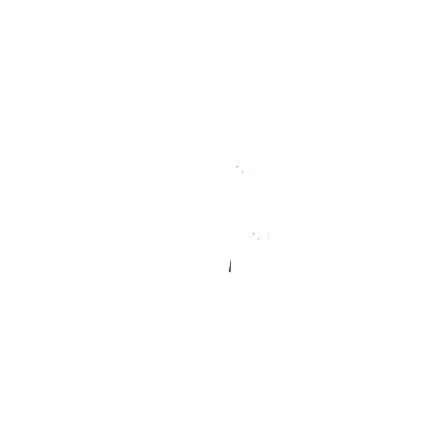 C[C@H](N)C(=O)Oc1ccccc1CN